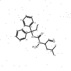 CCC(OC(=O)N(N)C(C=O)CC(C)C)(c1ccccc1)c1ccccc1